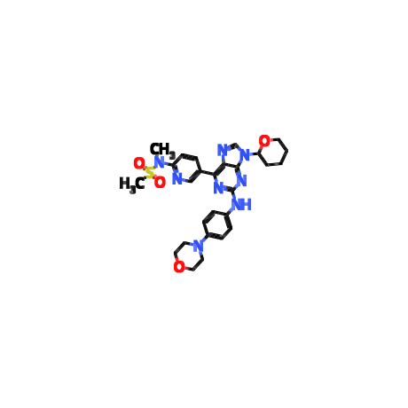 CN(c1ccc(-c2nc(Nc3ccc(N4CCOCC4)cc3)nc3c2ncn3C2CCCCO2)cn1)S(C)(=O)=O